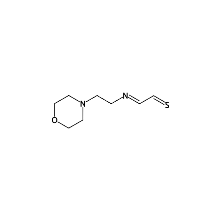 S=CC=NCCN1CCOCC1